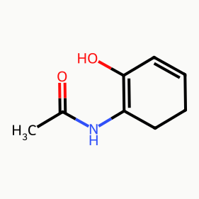 CC(=O)NC1=C(O)C=CCC1